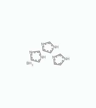 B.c1c[nH]cn1.c1c[nH]cn1.c1c[nH]cn1